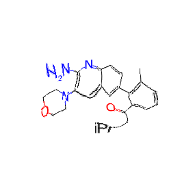 Cc1cccc(C(=O)CC(C)C)c1-c1ccc2nc(N)c(N3CCOCC3)cc2c1